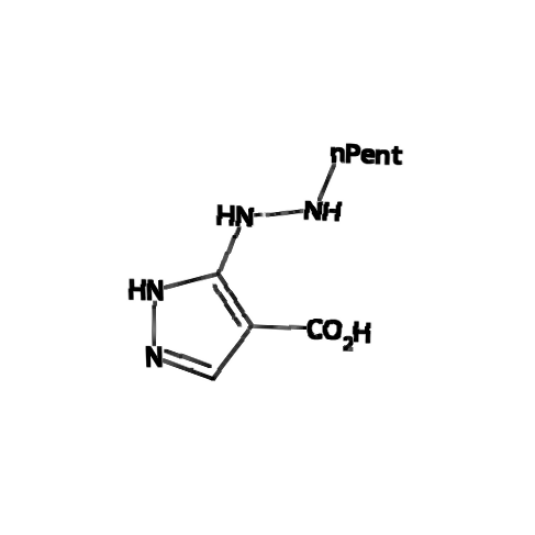 CCCCCNNc1[nH]ncc1C(=O)O